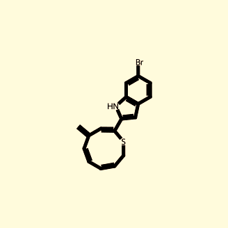 C=C1/C=C\C=C/CS/C(c2cc3ccc(Br)cc3[nH]2)=C\1